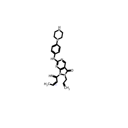 C=CCn1c(=O)c2cnc(Nc3ccc(N4CCNCC4)cc3)nc2n1C(=N)/C=C\C